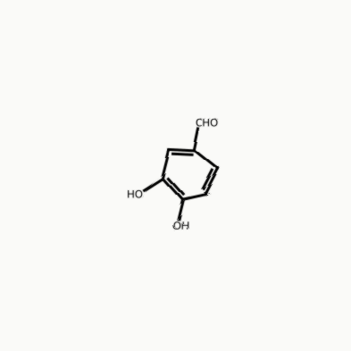 O=Cc1c[c]c(O)c(O)c1